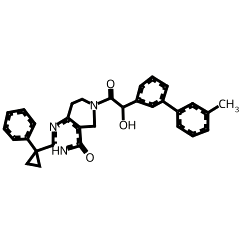 Cc1cccc(-c2cccc(C(O)C(=O)N3CCc4nc(C5(c6ccccc6)CC5)[nH]c(=O)c4C3)c2)c1